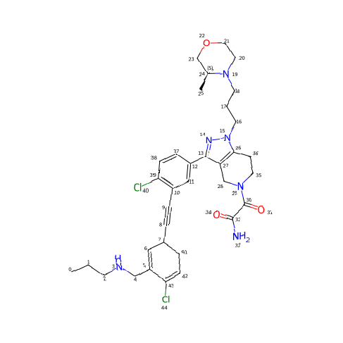 CCCNCC1=CC(C#Cc2cc(-c3nn(CCCN4CCOC[C@@H]4C)c4c3CN(C(=O)C(N)=O)CC4)ccc2Cl)CC=C1Cl